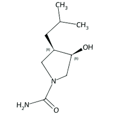 CC(C)C[C@@H]1CN(C(N)=O)C[C@@H]1O